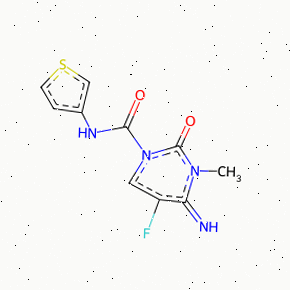 Cn1c(=N)c(F)cn(C(=O)Nc2ccsc2)c1=O